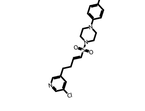 O=S(=O)(C=CCCc1cncc(Cl)c1)N1CCN(c2ccc(Cl)cc2)CC1